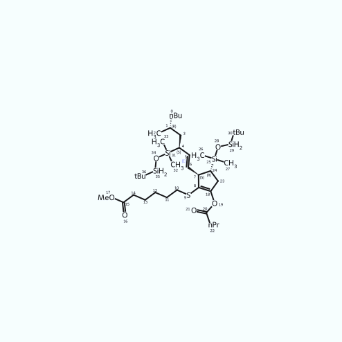 CCCC[C@@H](C)C[C@@H](/C=C/[C@@H]1C(SCCCCCC(=O)OC)=C(OC(=O)CCC)C[C@H]1[Si](C)(C)O[SiH2]C(C)(C)C)[Si](C)(C)O[SiH2]C(C)(C)C